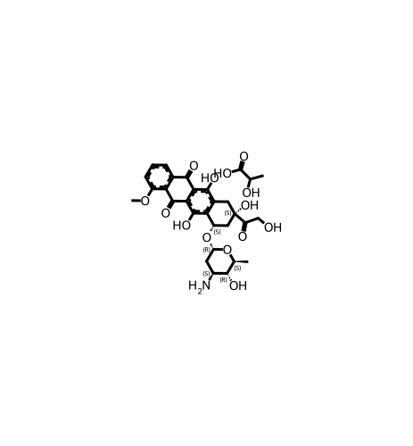 CC(O)C(=O)O.COc1cccc2c1C(=O)c1c(O)c3c(c(O)c1C2=O)C[C@@](O)(C(=O)CO)C[C@@H]3O[C@H]1C[C@H](N)[C@@H](O)[C@H](C)O1